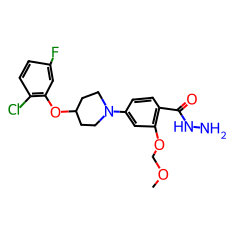 COCOc1cc(N2CCC(Oc3cc(F)ccc3Cl)CC2)ccc1C(=O)NN